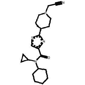 N#CCN1CCC(c2nc(C(=O)N(C3CCCCC3)C3CC3)cs2)CC1